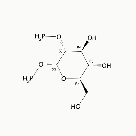 OC[C@H]1O[C@H](OP)[C@H](OP)[C@@H](O)[C@@H]1O